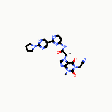 C[C@@H](C(=O)Nc1ccnc(-c2cnc(N3CCCC3)nc2)n1)n1cnc2c1c(=O)n(CC#N)c(=O)n2C